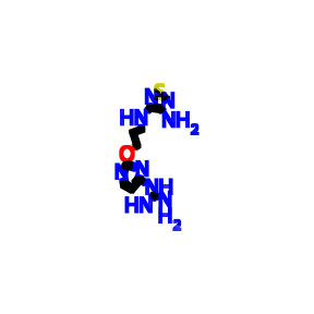 N=C(N)Nc1ccnc(OCCCNc2nsnc2N)n1